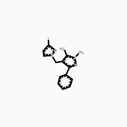 Cc1c(Cn2ccc(I)n2)c(-c2ccccc2)nn1C